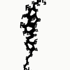 CCCCCc1ccc(C=Cc2cc3c(c(F)c2F)-c2c(cc(CCC)c(F)c2F)C3)c(F)c1